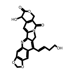 O=C1OCc2c(cc3n(c2=O)Cc2c-3nc3cc4c(cc3c2/C=C/CCO)OCO4)C1O